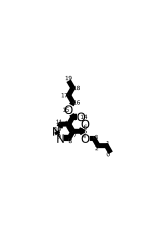 CCCCOC(=O)c1cnncc1C(=O)OCCCC